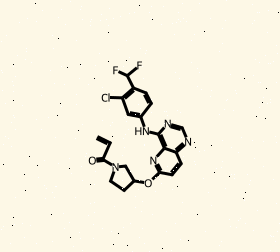 C=CC(=O)N1CCC(Oc2ccc3ncnc(Nc4ccc(C(F)F)c(Cl)c4)c3n2)C1